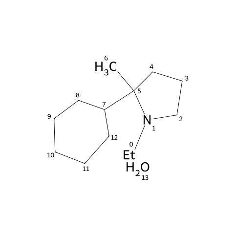 CCN1CCCC1(C)C1CCCCC1.O